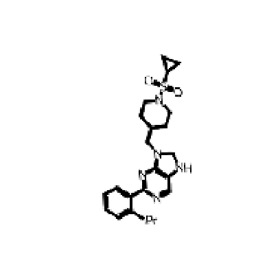 CC(C)c1ccccc1-c1ncc2c(n1)N(CC1CCN(S(=O)(=O)C3CC3)CC1)CN2